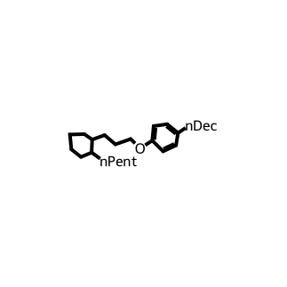 CCCCCCCCCCc1ccc(OCCCC2CCCCC2CCCCC)cc1